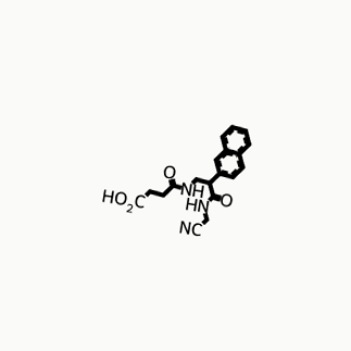 N#CCNC(=O)C(CNC(=O)CCC(=O)O)c1ccc2ccccc2c1